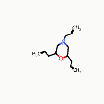 C=CCC1CN(CC=C)CC(CC=C)O1